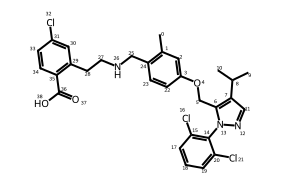 Cc1cc(OCc2c(C(C)C)cnn2-c2c(Cl)cccc2Cl)ccc1CNCCc1cc(Cl)ccc1C(=O)O